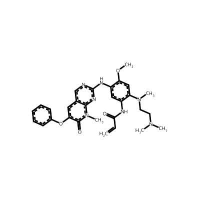 C=CC(=O)Nc1cc(Nc2ncc3cc(Oc4ccccc4)c(=O)n(C)c3n2)c(OC)cc1N(C)CCN(C)C